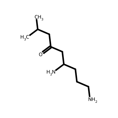 CC(C)CC(=O)CC(N)CCCN